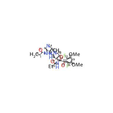 C=CC(=O)Nc1cncc(C)c1Nc1cc2c(NC(=O)CC)c(C(=O)c3c(F)c(OC)cc(OC)c3F)oc2cn1